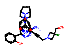 Nc1nnc(-c2ccccc2O)cc1N1CC2CCC(C1)N2c1ccnc(C#CCN2CC(F)(CO)C2)c1